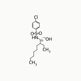 CCCCCCC(CC)[C@@H](CO)NS(=O)(=O)c1ccc(Cl)cc1